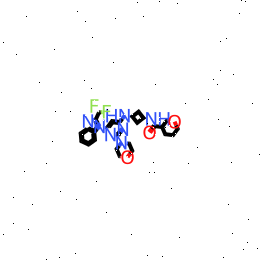 O=C(N[C@H]1C[C@H](Nc2cc(-n3c(C(F)F)nc4ccccc43)nc(N3CCOCC3)n2)C1)C1CCCOC1